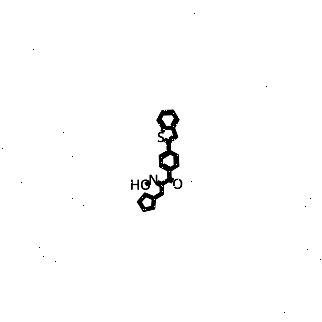 O=C(C(CC1CCCC1)=NO)c1ccc(-c2cc3ccccc3s2)cc1